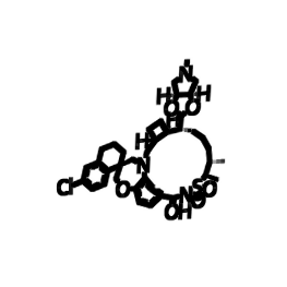 C[C@@H]1[C@@H](C)CCC[C@@H]([C@H]2O[C@H]3CN(C)C[C@H]3O2)[C@@H]2CC[C@H]2CN2C[C@@]3(CCCc4cc(Cl)ccc43)COc3ccc(cc32)C(=O)NS1(=O)=O